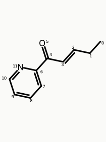 CCC=CC(=O)c1ccccn1